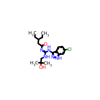 CCC(CC)CC(=O)/N=C(/NCC(C)(C)O)Nc1n[nH]c2cc(Cl)ccc12